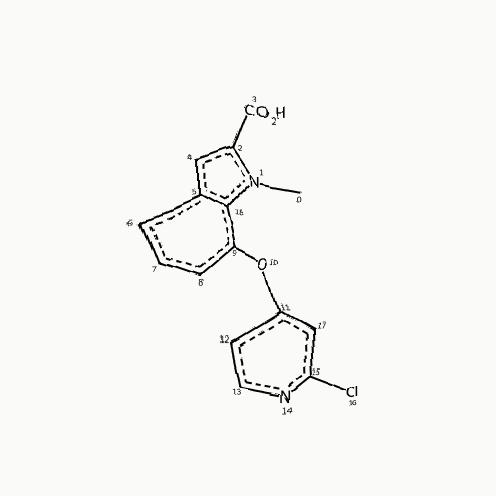 Cn1c(C(=O)O)cc2cccc(Oc3ccnc(Cl)c3)c21